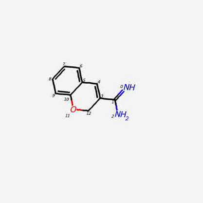 N=C(N)C1=Cc2ccccc2OC1